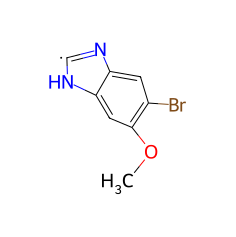 COc1cc2[nH][c]nc2cc1Br